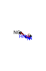 Cc1csc2c(N3CCC(NCCCc4ccc(C#N)cc4)CC3)ncnc12